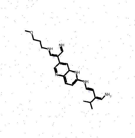 COCCCN/C=C(\C=N)C1=CC2NC(N/C=C/C(=C\N)C(C)C)=CC=C2N=C1